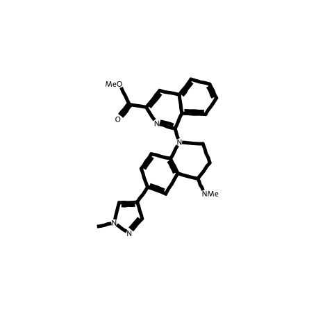 CNC1CCN(c2nc(C(=O)OC)cc3ccccc23)c2ccc(-c3cnn(C)c3)cc21